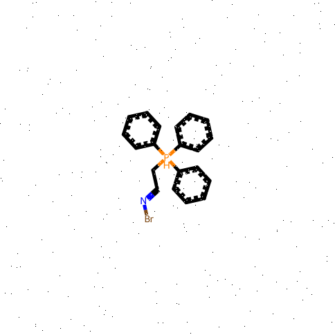 Br/N=C/C[PH](c1ccccc1)(c1ccccc1)c1ccccc1